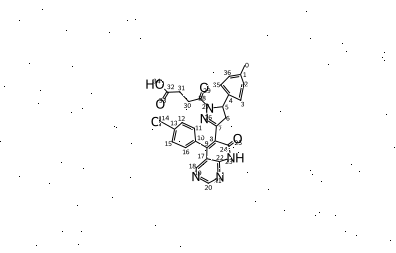 Cc1ccc(C2CC(c3c(-c4ccc(Cl)cc4)c4cncnc4[nH]c3=O)=NN2C(=O)CCC(=O)O)cc1